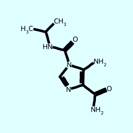 CC(C)NC(=O)n1cnc(C(N)=O)c1N